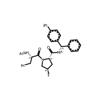 CC(=O)C[C@H](NC(C)=O)C(=O)N1C[C@H](F)C[C@H]1C(=O)N[C@@H](c1ccccc1)c1ccc(C(C)C)cc1